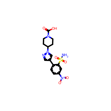 NS(=O)(=O)c1cc([N+](=O)[O-])ccc1-c1cnn(C2CCN(C(=O)O)CC2)c1